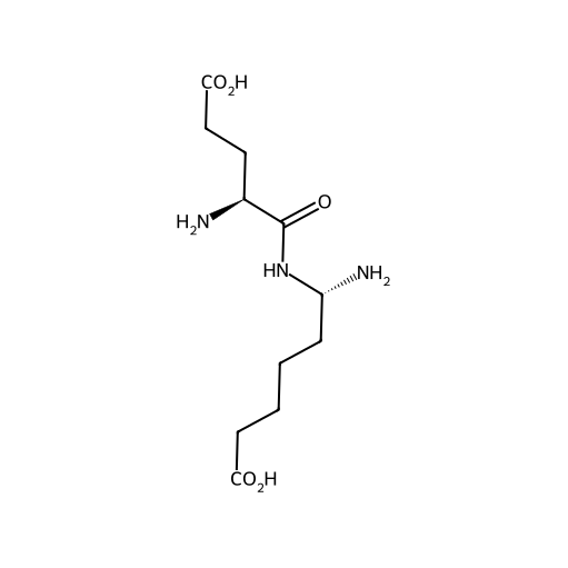 N[C@H](CCCCC(=O)O)NC(=O)[C@@H](N)CCC(=O)O